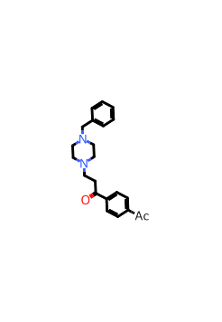 CC(=O)c1ccc(C(=O)CCN2CCN(Cc3ccccc3)CC2)cc1